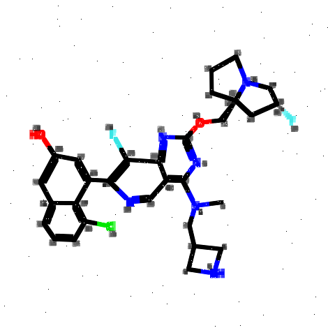 CN(CC1CNC1)c1nc(OC[C@@]23CCCN2C[C@H](F)C3)nc2c(F)c(-c3cc(O)cc4cccc(Cl)c34)ncc12